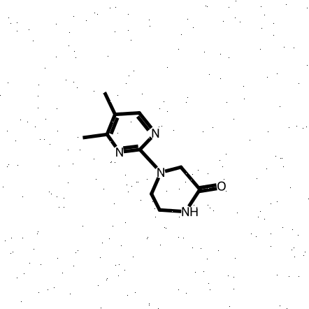 Cc1cnc(N2CCNC(=O)C2)nc1C